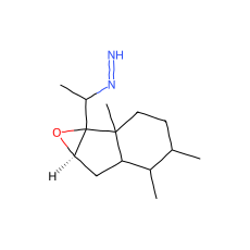 CC1CCC2(C)C(C[C@H]3OC32C(C)N=N)C1C